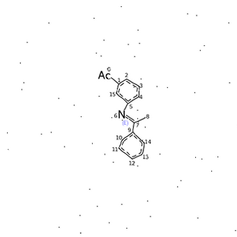 CC(=O)c1cccc(/N=C(\C)c2ccccc2)c1